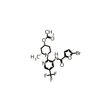 CC(=O)O[C@H]1CCN(c2ncc(C(F)(F)F)cc2NC(=O)c2ccc(Br)o2)[C@H](C)C1